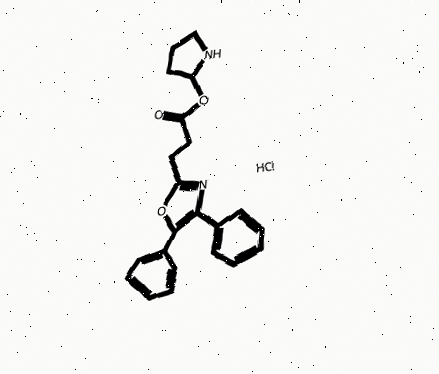 Cl.O=C(CCc1nc(-c2ccccc2)c(-c2ccccc2)o1)OC1CCCN1